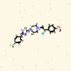 COc1ccc(C(F)CN2CCN(c3nc(-c4ccc(Cl)cc4)ns3)CC2)cc1